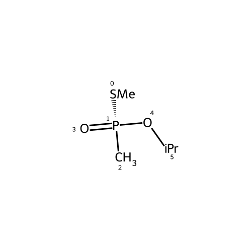 CS[P@](C)(=O)OC(C)C